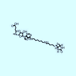 CN(CCCC(=O)O)C[C@H]1O[C@@H](n2cnc3c(NCCCCCCNCCCCC[C@@H]4SC[C@@H]5NC(=O)N[C@@H]54)ncnc32)[C@H](O)[C@@H]1O